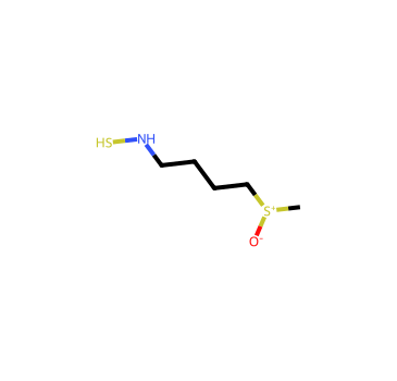 C[S+]([O-])CCCCNS